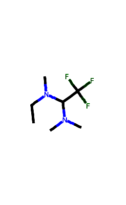 CCN(C)C(N(C)C)C(F)(F)F